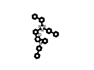 C1=CC2c3cccc(-c4nc(-c5ccc(-c6ccccc6)cc5)nc(-c5cccc(-c6ccccc6)c5)n4)c3OC2c2c1n(-c1ccc(-c3ccccc3)cc1)c1ccccc21